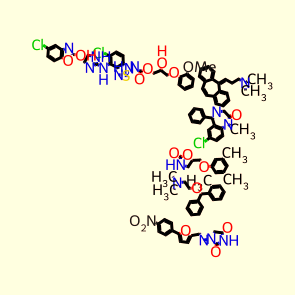 CN(C)CCC=C1c2ccccc2C=Cc2ccccc21.CN1C(=O)CN=C(c2ccccc2)c2cc(Cl)ccc21.COc1ccccc1OCC(O)COC(N)=O.Cc1cc(C)cc(OCC2CNC(=O)O2)c1.Cc1ccccc1C(OCCN(C)C)c1ccccc1.Clc1ccc2nsnc2c1NC1=NCCN1.O=C1CN(N=Cc2ccc(-c3ccc([N+](=O)[O-])cc3)o2)C(=O)N1.Oc1nc2cc(Cl)ccc2o1